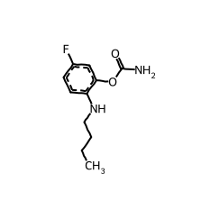 CCCCNc1ccc(F)cc1OC(N)=O